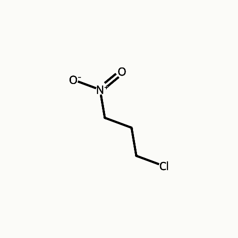 O=[N+]([O-])CCCCl